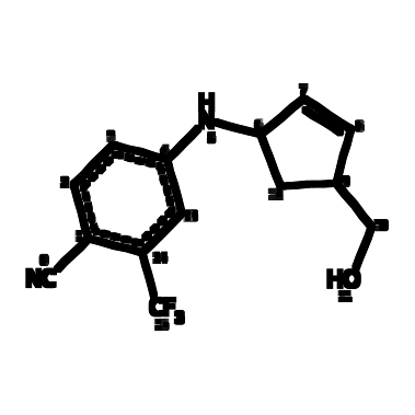 N#Cc1ccc(NC2C=CC(CO)C2)cc1C(F)(F)F